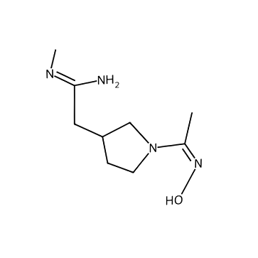 C/N=C(\N)CC1CCN(/C(C)=N\O)C1